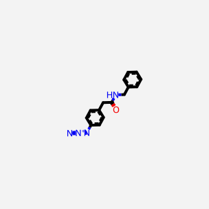 [N-]=[N+]=Nc1ccc(CC(=O)NCc2ccccc2)cc1